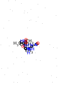 COc1c(NC(=O)c2ccc(C)c(N3C=C(c4ccc(CCN5CCOCC5)nc4)NN3)c2)cc(C(C)(C)C)cc1NS(C)(=O)=O